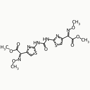 CON=C(C(=O)OC)c1csc(NC(=O)Nc2nc(C(=NOC)C(=O)OC)cs2)n1